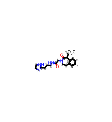 O=C(O)CC1C(=O)N(CC(=O)NCCCC2=NCCN2)CCc2ccccc21